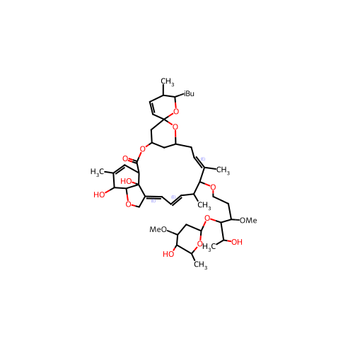 CCC(C)C1OC2(C=CC1C)CC1CC(C/C=C(\C)C(OCCC(OC)C(OC3CC(OC)C(O)C(C)O3)C(C)O)C(C)/C=C/C=C3\COC4C(O)C(C)=CC(C(=O)O1)C34O)O2